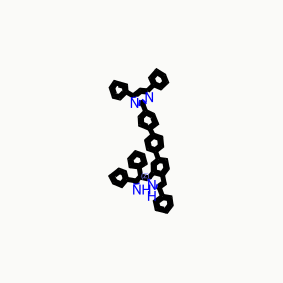 N=C(/C(=C1\NC(c2ccccc2)=Cc2ccc(-c3ccc(-c4ccc(-c5nc(-c6ccccc6)cc(-c6ccccc6)n5)cc4)cc3)cc21)c1ccccc1)c1ccccc1